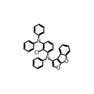 Clc1c(N(c2ccccc2)c2ccccc2)cccc1N(c1ccccc1)c1coc2oc3ccccc3c12